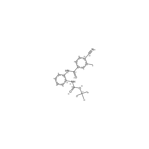 Cc1cc(C(=O)Nc2ccccc2NC(=O)OC(C)(C)C)ccc1C#N